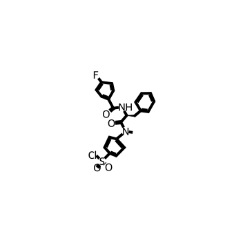 CN(C(=O)[C@H](Cc1ccccc1)NC(=O)c1ccc(F)cc1)c1ccc(S(=O)(=O)Cl)cc1